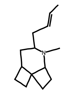 C/C=C/CC1CC2CCC23CCC3N1C